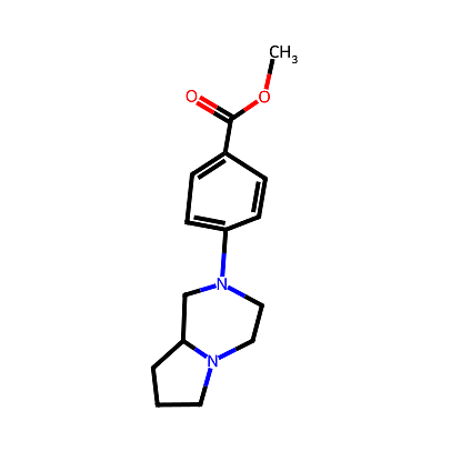 COC(=O)c1ccc(N2CCN3CCCC3C2)cc1